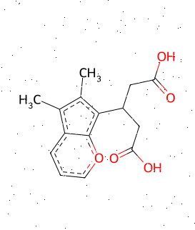 Cc1c2cccoc-2c(C(CC(=O)O)CC(=O)O)c1C